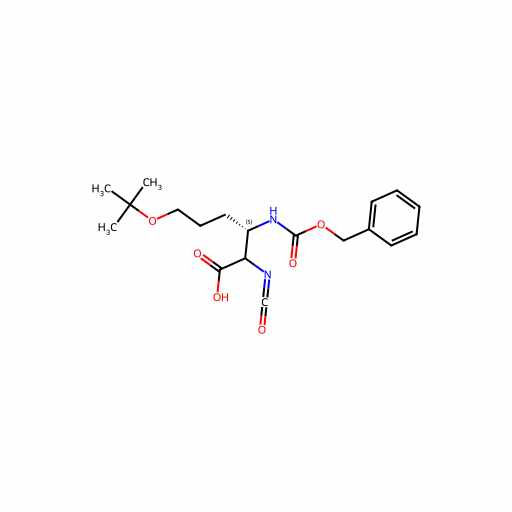 CC(C)(C)OCCC[C@H](NC(=O)OCc1ccccc1)C(N=C=O)C(=O)O